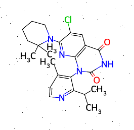 Cc1ccnc(C(C)C)c1-n1c(=O)[nH]c(=O)c2cc(Cl)c(N3CCCCC3(C)C)nc21